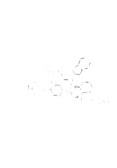 CN1CCN(c2ccc(-c3cnc4c(C(=O)O)ccc(-c5csc6ccccc56)c4n3)c(C(N)=O)n2)CC1